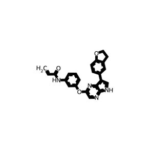 C=CC(=O)Nc1cccc(Oc2cnc3[nH]cc(-c4ccc5c(c4)CCO5)c3n2)c1